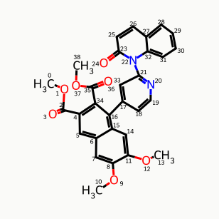 COC(=O)c1cc2cc(OC)c(OC)cc2c(-c2ccnc(-n3c(=O)ccc4ccccc43)c2)c1C(=O)OC